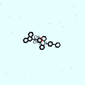 CC(C)(c1cccc(-c2ccccc2N(c2ccc(C3=CCCC=C3)cc2)C2C=CC=CC2)c1)c1cc2ccccc2c2ccccc12